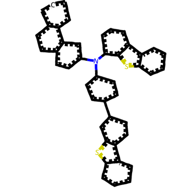 c1ccc2c(c1)ccc1ccc(N(c3ccc(-c4ccc5c(c4)sc4ccccc45)cc3)c3cccc4c3sc3ccccc34)cc12